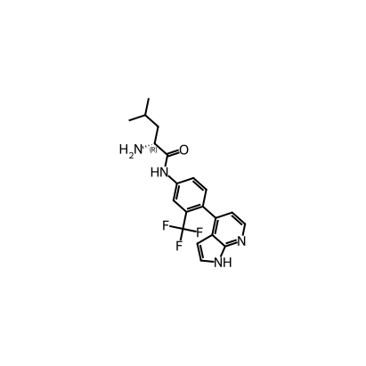 CC(C)C[C@@H](N)C(=O)Nc1ccc(-c2ccnc3[nH]ccc23)c(C(F)(F)F)c1